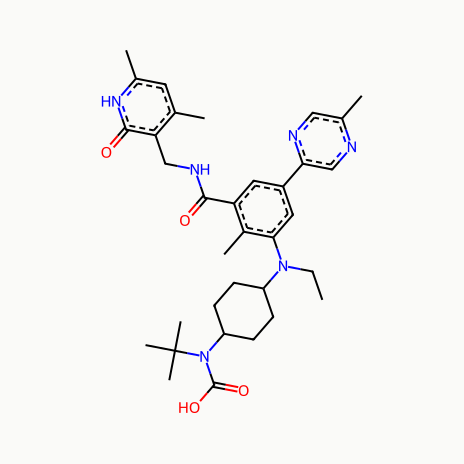 CCN(c1cc(-c2cnc(C)cn2)cc(C(=O)NCc2c(C)cc(C)[nH]c2=O)c1C)C1CCC(N(C(=O)O)C(C)(C)C)CC1